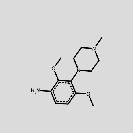 COc1ccc(N)c(OC)c1N1CCN(C)CC1